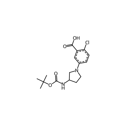 CC(C)(C)OC(=O)NC1CCN(c2ccc(Cl)c(C(=O)O)c2)C1